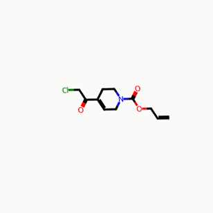 C=CCOC(=O)N1CC=C(C(=O)CCl)CC1